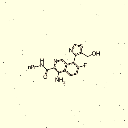 CCCNC(=O)c1ncc2c(-c3ncsc3CO)c(F)ccc2c1N